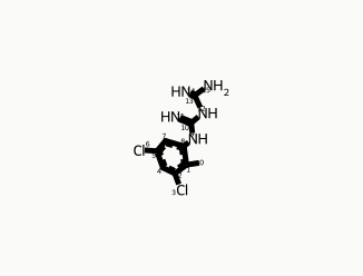 Cc1c(Cl)cc(Cl)cc1NC(=N)NC(=N)N